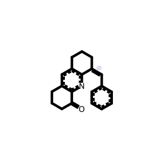 O=C1CCCc2cc3c(nc21)/C(=C\c1ccccc1)CCC3